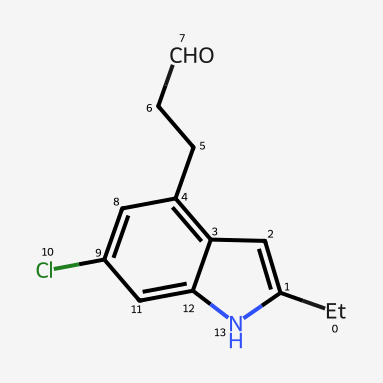 [CH2]Cc1cc2c(CCC=O)cc(Cl)cc2[nH]1